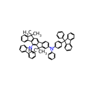 CC1(C)c2ccccc2-c2c1cc1c(c2-n2c3ccccc3c3ccccc32)C(C)(C)c2cc(N(c3ccccc3)c3ccc(C4(c5ccccc5)c5ccccc5-c5ccccc54)cc3)ccc2-1